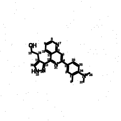 Cc1cc(-c2cc3ncccc3c(-c3n[nH]cc3CCO)n2)ccc1N(C)C